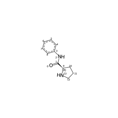 O=C(Nc1ccccc1)[C@H]1CCCN1